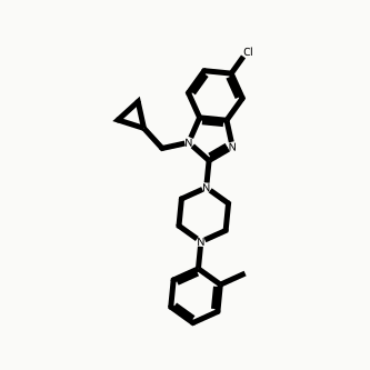 Cc1ccccc1N1CCN(c2nc3cc(Cl)ccc3n2CC2CC2)CC1